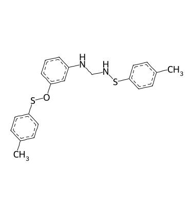 Cc1ccc(SNCNc2cccc(OSc3ccc(C)cc3)c2)cc1